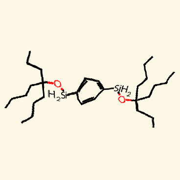 CCCCC(CCC)(CCCC)O[SiH2]c1ccc([SiH2]OC(CCC)(CCCC)CCCC)cc1